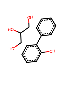 OCC(O)CO.Oc1ccccc1-c1ccccc1